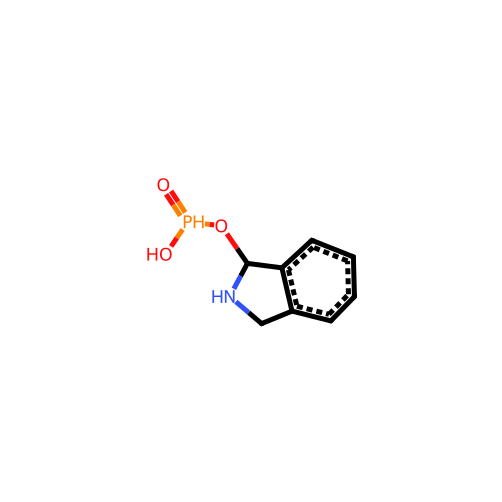 O=[PH](O)OC1NCc2ccccc21